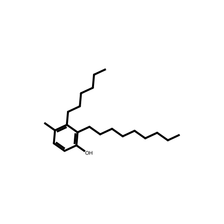 CCCCCCCCCc1c(O)ccc(C)c1CCCCCC